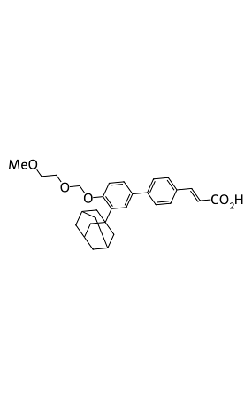 COCCOCOc1ccc(-c2ccc(C=CC(=O)O)cc2)cc1C12CC3CC(CC(C3)C1)C2